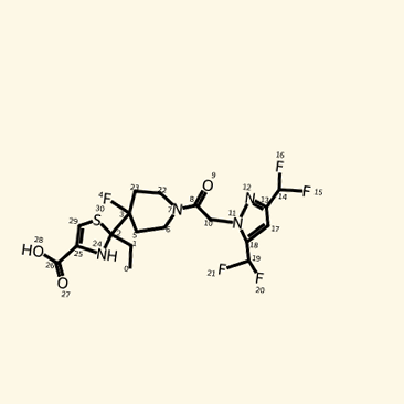 CCC1(C2(F)CCN(C(=O)Cn3nc(C(F)F)cc3C(F)F)CC2)NC(C(=O)O)=CS1